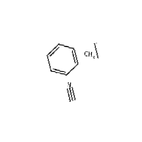 C#N.[CH2]C.[CH3].[c]1ccccc1